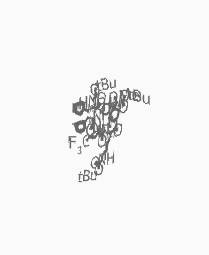 COC(=O)C1(NC(=O)OC(C)(C)C)CCN(C(=O)[C@@H](CCCCNC(=O)OC(C)(C)C)NC(=O)C(CCC(F)(F)F)NC(=O)[C@@H](Cc2ccccc2)NC(=O)[C@@H](Cc2ccccc2)NC(=O)OC(C)(C)C)CC1